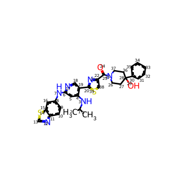 CC(C)Nc1cc(Nc2ccc3ncsc3c2)ncc1-c1nc(C(=O)N2CCC(O)(c3ccccc3)CC2)cs1